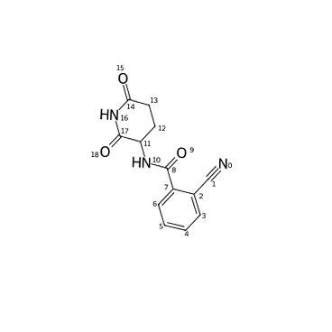 N#Cc1ccccc1C(=O)NC1CCC(=O)NC1=O